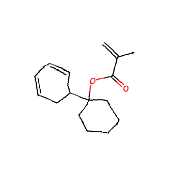 C=C(C)C(=O)OC1(C2C=CC=CC2)CCCCC1